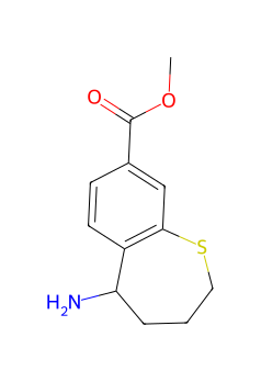 COC(=O)c1ccc2c(c1)SCCCC2N